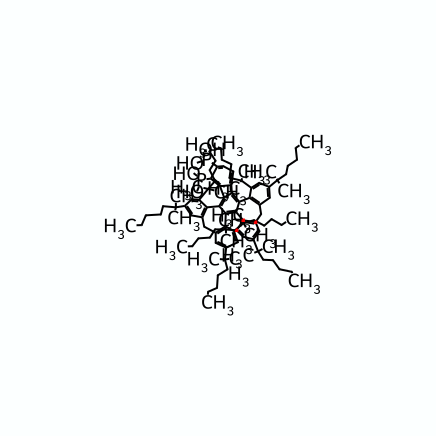 CCCCCC(C)(C)c1cc2c(c(C(C)(C)CCCCC)c1)-c1c3c(c4c(c1-c1c(cc(C(C)(C)CCCCC)cc1C(C)(C)CCCCC)C2)-c1c(cc(C(C)(C)CCCCC)cc1C(C)(C)CCCCC)Cc1cc(C(C)(C)CCCCC)cc(C(C)(C)CCCCC)c1-4)-c1c-3ccc(P(O)O)c1P(O)O